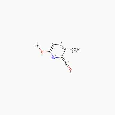 CCOC1=CC=C(C(=O)O)C(=C=O)N1